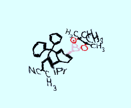 C/C(C#N)=C\C1=C(C(C)C)C2CC=C(B3OC(C)(C)C(C)(C)O3)C=C2C1(c1ccccc1)c1ccccc1